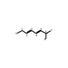 CCC=CC=C[C](C)C